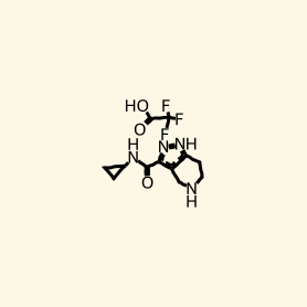 O=C(NC1CC1)c1n[nH]c2c1CNCC2.O=C(O)C(F)(F)F